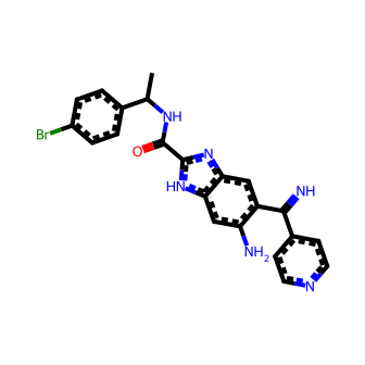 CC(NC(=O)c1nc2cc(C(=N)c3ccncc3)c(N)cc2[nH]1)c1ccc(Br)cc1